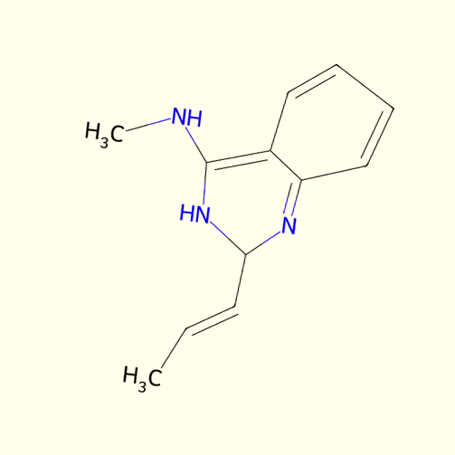 C/C=C/C1N=c2ccccc2=C(NC)N1